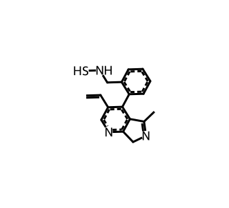 C=Cc1cnc2c(c1-c1ccccc1CNS)C(C)=NC2